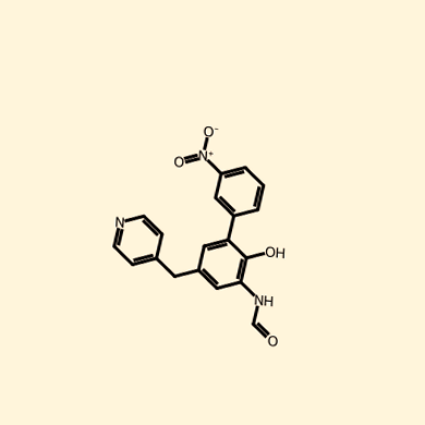 O=CNc1cc(Cc2ccncc2)cc(-c2cccc([N+](=O)[O-])c2)c1O